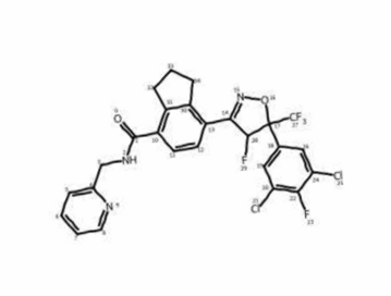 O=C(NCc1ccccn1)c1ccc(C2=NOC(c3cc(Cl)c(F)c(Cl)c3)(C(F)(F)F)C2F)c2c1CCC2